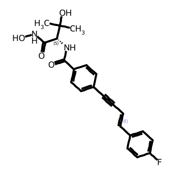 CC(C)(O)[C@H](NC(=O)c1ccc(C#C/C=C/c2ccc(F)cc2)cc1)C(=O)NO